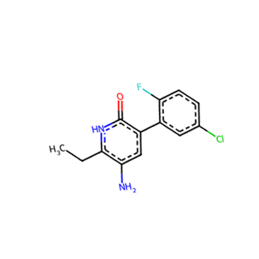 CCc1[nH]c(=O)c(-c2cc(Cl)ccc2F)cc1N